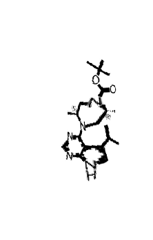 C=C(C)c1c[nH]c2ncnc(N3C[C@@H](C)N(C(=O)OC(C)(C)C)C[C@@H]3C)c12